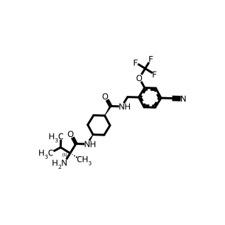 CC(C)[C@](C)(N)C(=O)N[C@H]1CC[C@@H](C(=O)NCc2ccc(C#N)cc2OC(F)(F)F)CC1